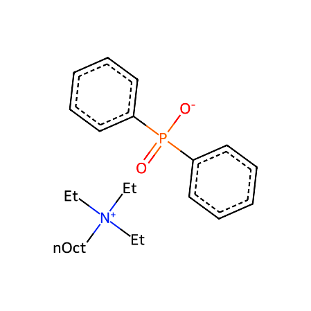 CCCCCCCC[N+](CC)(CC)CC.O=P([O-])(c1ccccc1)c1ccccc1